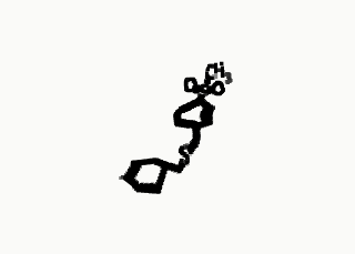 CS(=O)(=O)c1ccc(CSCc2cc[c]cc2)cc1